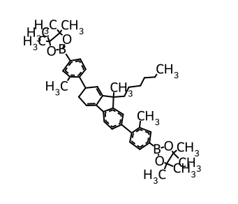 CCCCCCC1(C)C2=CC(c3ccc(B4OC(C)(C)C(C)(C)O4)cc3C)CC=C2c2ccc(-c3ccc(B4OC(C)(C)C(C)(C)O4)cc3C)cc21